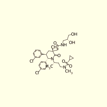 C[C@@H](CCN(C)S(=O)(=O)C1CC1)N1C(=O)[C@@](C)(CC(=O)NC[C@@H](O)CO)C[C@H](c2cccc(Cl)c2)[C@H]1c1ccc(Cl)cc1